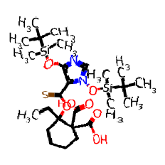 CCC1(OC(=S)c2c(O[Si](C)(C)C(C)(C)C)ncn2O[Si](C)(C)C(C)(C)C)CCCCC1(C(=O)O)C(=O)O